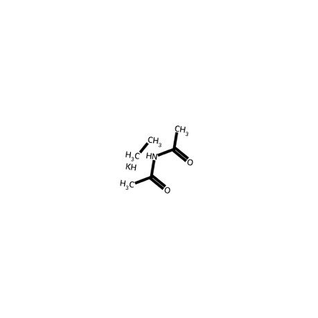 CC.CC(=O)NC(C)=O.[KH]